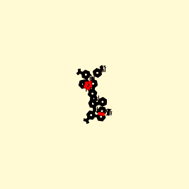 CC(C)c1ccc(N(c2ccc([Si](C)(C)C)cc2)c2ccc3c4cc5c(cc4n4c6ccccc6c2c34)c2ccc(N(c3ccc([Si](C)(C)C)cc3)c3ccc(C(C)C)cc3-c3ccccc3)c3c4ccccc4n5c23)c(-c2ccccc2)c1